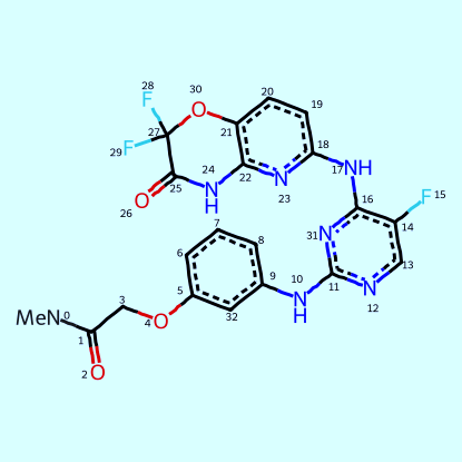 CNC(=O)COc1cccc(Nc2ncc(F)c(Nc3ccc4c(n3)NC(=O)C(F)(F)O4)n2)c1